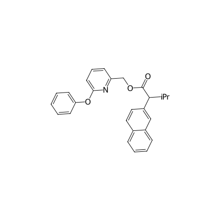 CC(C)C(C(=O)OCc1cccc(Oc2ccccc2)n1)c1ccc2ccccc2c1